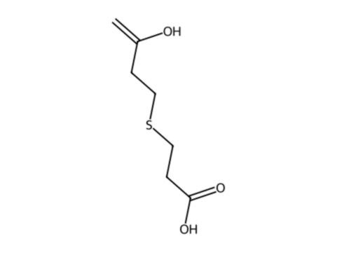 C=C(O)CCSCCC(=O)O